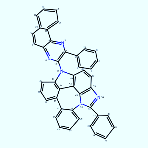 c1ccc(-c2nc3c(ccc4ccccc43)nc2-n2c3cccc4c5ccccc5n5c(-c6ccccc6)nc6ccc2c(c43)c65)cc1